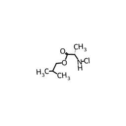 CC(C)COC(=O)[C@H](C)NCl